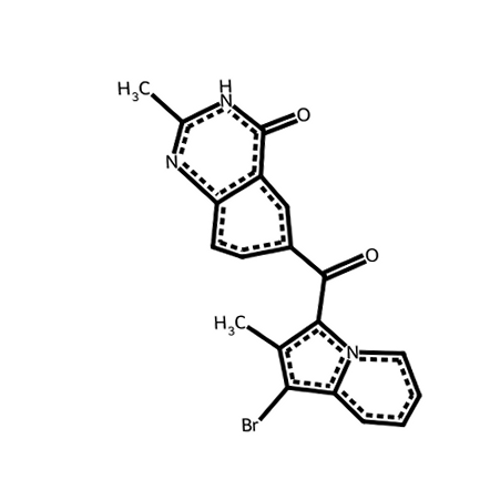 Cc1nc2ccc(C(=O)c3c(C)c(Br)c4ccccn34)cc2c(=O)[nH]1